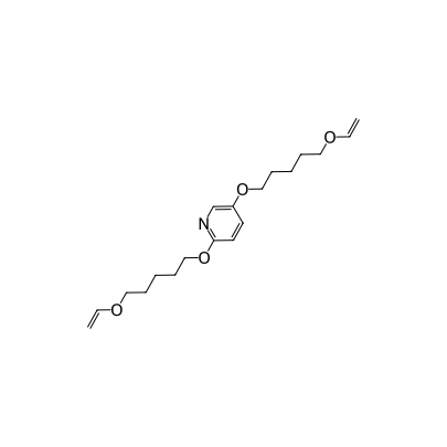 C=COCCCCCOc1ccc(OCCCCCOC=C)nc1